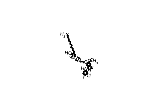 CCCCCCCCCCCCC(CC(=O)N1CCN(CCCOc2cc3c(Nc4ccc(F)c(Cl)c4)ncnc3cc2OC)CC1)C(=O)O